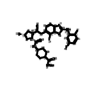 COC(=O)C1CCC(NC(=O)[C@@H]2C[C@H](F)CN2C(=O)Cc2ccc3nc(Nc4cc(F)ccc4C)oc3c2F)CC1